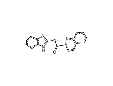 O=C(Nc1nc2ccccc2[nH]1)c1ccc2ccccc2c1